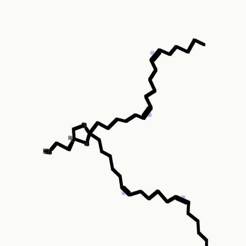 CCCCC/C=C\CCCC/C=C\CCCCCC1(CCCCC/C=C\CCCC/C=C\CCCCC)OC[C@H](CCO)O1